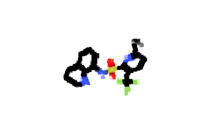 Cc1ccc(C(F)(F)F)c(S(=O)(=O)Nc2cccc3cccnc23)n1